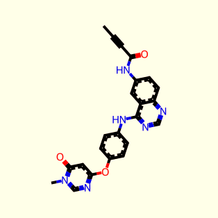 CC#CC(=O)Nc1ccc2ncnc(Nc3ccc(Oc4cc(=O)n(C)cn4)cc3)c2c1